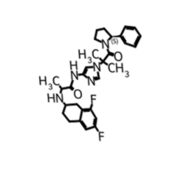 CC(NC1CCc2cc(F)cc(F)c2C1)C(=O)Nc1cn(C(C)(C)C(=O)N2CCC[C@H]2c2ccccc2)cn1